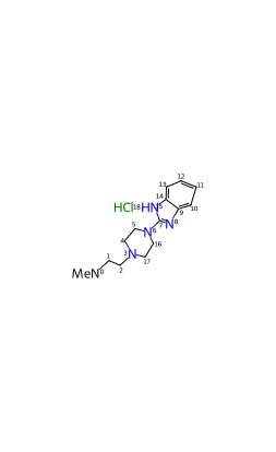 CNCCN1CCN(c2nc3ccccc3[nH]2)CC1.Cl